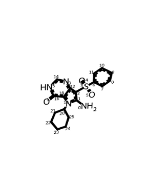 Nc1c(S(=O)(=O)c2ccccc2)c2nc[nH]c(=O)c2n1C1CCCCC1